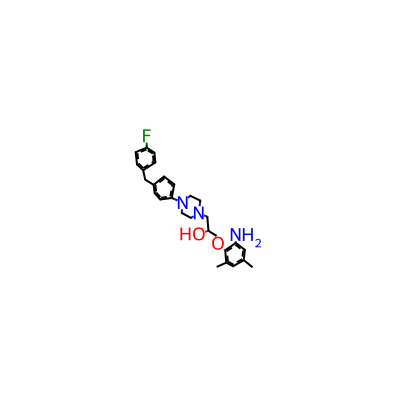 Cc1cc(C)c(OC[C@@H](O)CN2CCN(c3ccc(Cc4ccc(F)cc4)cc3)CC2)c(N)c1